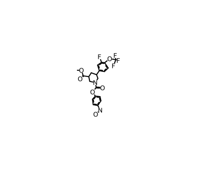 COC(=O)C1CC(c2ccc(OC(F)(F)F)c(F)c2)CN(C(=O)Oc2ccc(N=O)cc2)C1